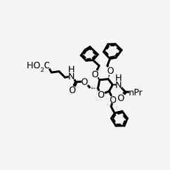 CCCC(=O)N[C@H]1C(OCc2ccccc2)O[C@H](COC(=O)NCCCC(=O)O)[C@@H](OCc2ccccc2)[C@@H]1OCc1ccccc1